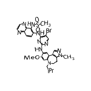 COc1cc2c(cc1Nc1ncc(Br)c(Nc3ccc4nccnc4c3NS(C)(=O)=O)n1)-c1cnn(C)c1CCN2CC(C)C